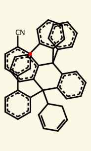 N#Cc1ccc(-c2ccccc2C2(C3C=CC=CC3)c3ccccc3C3(c4ccccc4)c4ccccc4-c4cccc2c43)cc1